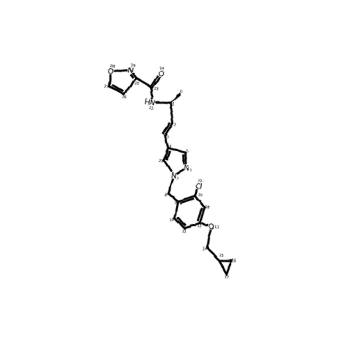 C[C@@H](/C=C/c1cnn(Cc2ccc(OCC3CC3)cc2Cl)c1)NC(=O)c1ccon1